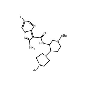 CCCCN1CCC(N2CCN(C(C)=O)CC2)C(NC(=O)c2c(N)nn3cc(F)cnc23)C1